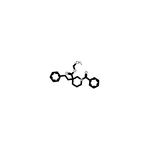 CCOC(=O)C1(CCc2ccccc2)CCCN(C(=O)c2ccccc2)C1